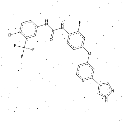 O=C(Nc1ccc(Cl)c(C(F)(F)F)c1)Nc1ccc(Oc2ccnc(-c3cn[nH]c3)c2)cc1F